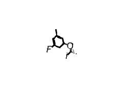 CC1=CC(O[C@H](C)I)CC(F)=C1